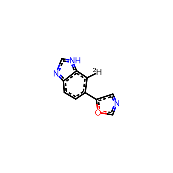 [2H]c1c(-c2cnco2)ccc2nc[nH]c12